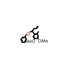 C=CCC(COCc1ccccc1)c1cc(OC)c(OC)cc1C